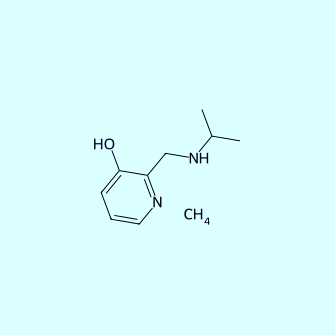 C.CC(C)NCc1ncccc1O